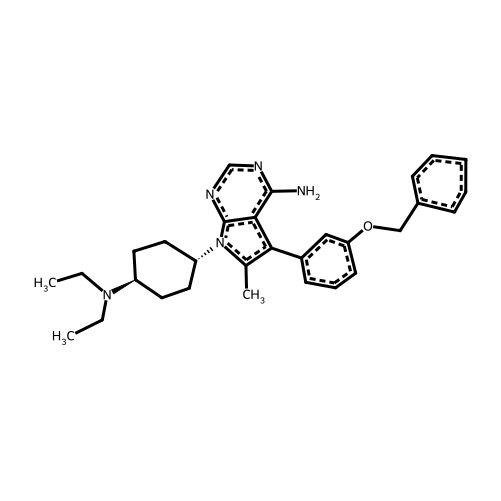 CCN(CC)[C@H]1CC[C@H](n2c(C)c(-c3cccc(OCc4ccccc4)c3)c3c(N)ncnc32)CC1